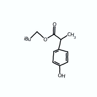 CCC(C)COC(=O)C(C)c1ccc(O)cc1